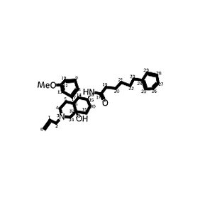 C=CCN1CC[C@@]2(c3cccc(OC)c3)C[C@H](NC(=O)CCCCCc3ccccc3)CC[C@]2(O)C1